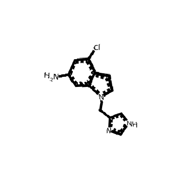 Nc1cc(Cl)c2ccn(Cc3c[nH]cn3)c2c1